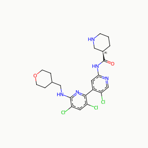 O=C(Nc1cc(-c2nc(NCC3CCOCC3)c(Cl)cc2Cl)c(Cl)cn1)[C@@H]1CCCNC1